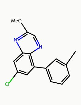 COc1cnc2c(-c3cccc(C)c3)cc(Cl)cc2n1